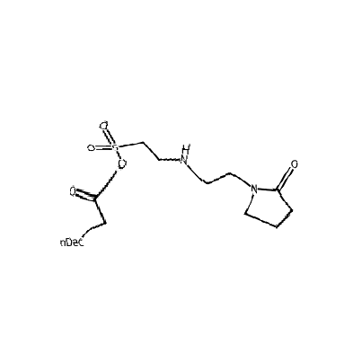 CCCCCCCCCCCC(=O)OS(=O)(=O)CCNCCN1CCCC1=O